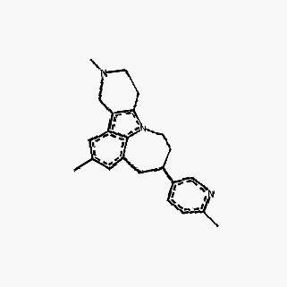 Cc1cc2c3c(c1)c1c(n3CCC(c3ccc(C)nc3)C2)CCN(C)C1